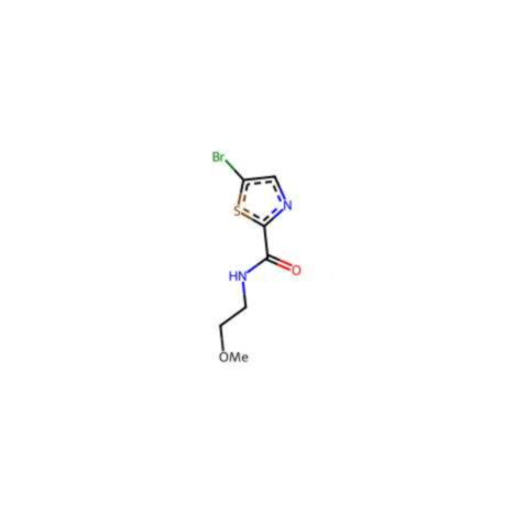 COCCNC(=O)c1ncc(Br)s1